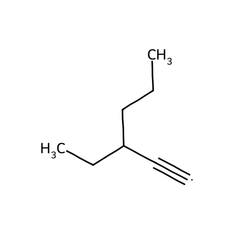 [C]#CC(CC)CCC